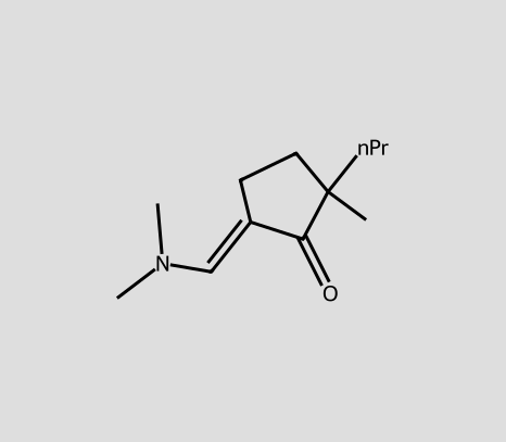 CCCC1(C)CCC(=CN(C)C)C1=O